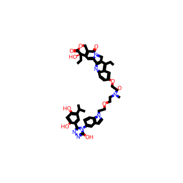 CCc1c2c(nc3ccc(OCC(=O)N(C)CCOCCn4ccc5cc(-n6c(O)nnc6-c6cc(C(C)C)c(O)cc6O)ccc54)cc13)-c1cc3c(c(=O)n1C2)COC(=O)[C@@]3(O)CC